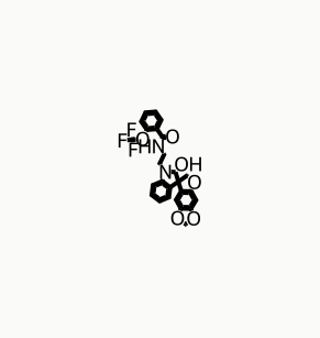 O=C(NCCN1c2ccccc2C2(COc3cc4c(cc32)OCO4)C1O)c1ccccc1OC(F)(F)F